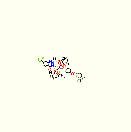 CC(C)(C)OC(=O)C(CCn1nnc2cc(C(F)(F)F)ccc2c1=O)(CC(=O)c1ccc(OCc2ccc(Cl)c(Cl)c2)cc1)C(=O)OC(C)(C)C